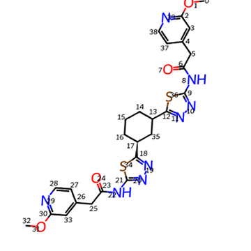 COc1cc(CC(=O)Nc2nnc(C3CCC[C@H](c4nnc(NC(=O)Cc5ccnc(OC)c5)s4)C3)s2)ccn1